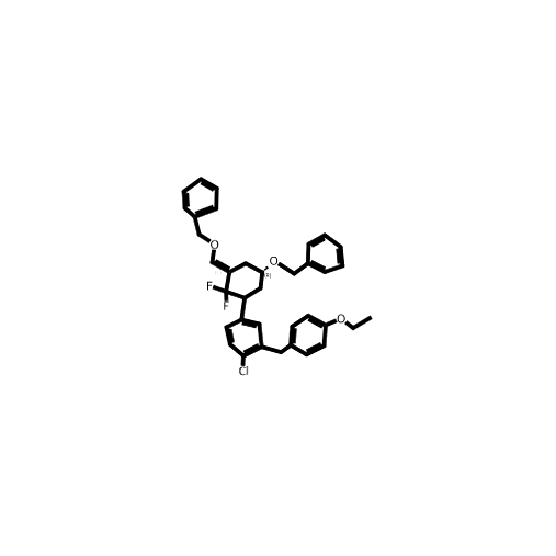 CCOc1ccc(Cc2cc(C3C[C@@H](OCc4ccccc4)C/C(=C\OCc4ccccc4)C3(F)F)ccc2Cl)cc1